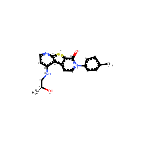 Cc1ccc(-n2ccc3c(sc4nccc(NC[C@@H](C)O)c43)c2=O)cc1